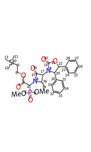 COP(=O)(OC)C(C(=O)OCC[Si](C)(C)C)N1C(=O)C(N2C(=O)OC(c3ccccc3)C2c2ccccc2)C1C